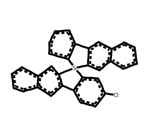 Clc1ccc2c(c1)[Si]1(c3ccccc3-c3cc4ccccc4cc31)c1cc3ccccc3cc1-2